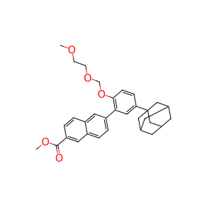 COCCOCOc1ccc(C23CC4CC(CC(C4)C2)C3)cc1-c1ccc2cc(C(=O)OC)ccc2c1